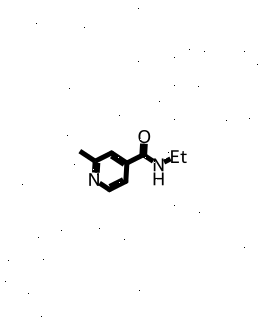 CCNC(=O)c1ccnc(C)c1